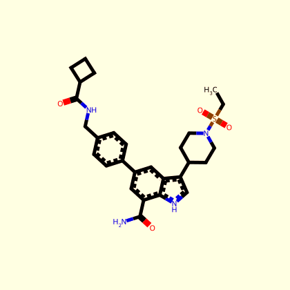 CCS(=O)(=O)N1CCC(c2c[nH]c3c(C(N)=O)cc(-c4ccc(CNC(=O)C5CCC5)cc4)cc23)CC1